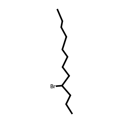 CCCCCCCCC(Br)CCC